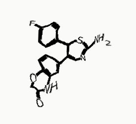 NC1=NC=C(c2ccc3c(c2)NC(=O)CO3)C(c2ccc(F)cc2)S1